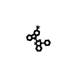 Brc1ccc2c(c1)c1ccccc1n2-c1nc(-c2ccccc2)c2ccccc2n1